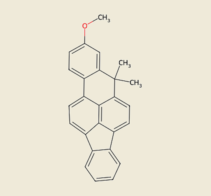 COc1ccc2c(c1)C(C)(C)c1ccc3c4c(ccc-2c14)-c1ccccc1-3